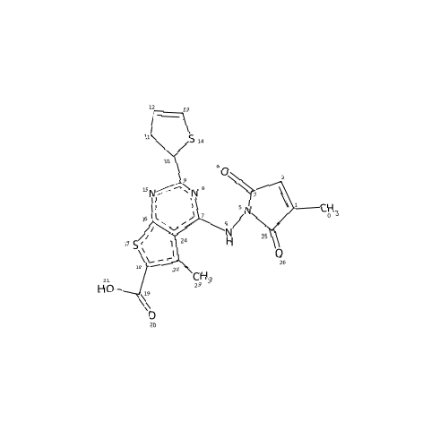 CC1=CC(=O)N(Nc2nc(C3CC=CS3)nc3sc(C(=O)O)c(C)c23)C1=O